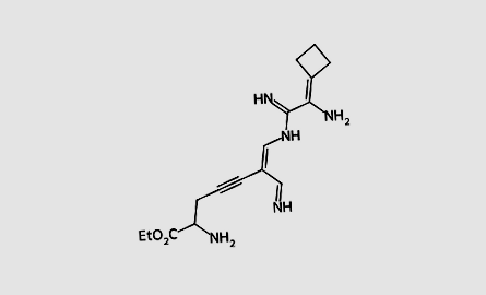 CCOC(=O)C(N)CC#C/C(C=N)=C/NC(=N)C(N)=C1CCC1